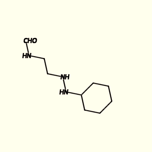 O=CNCCNNC1CCCCC1